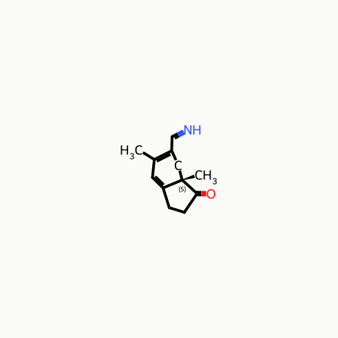 CC1=C(C=N)C[C@]2(C)C(=O)CCC2=C1